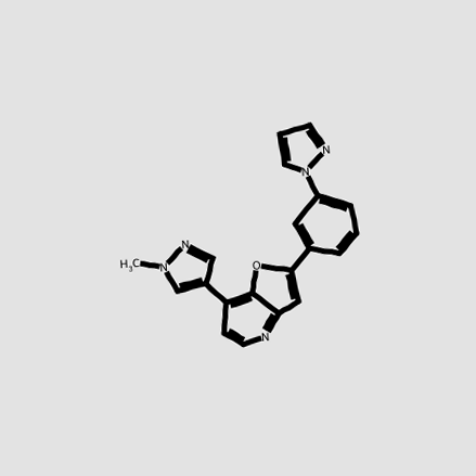 Cn1cc(-c2ccnc3cc(-c4cccc(-n5cccn5)c4)oc23)cn1